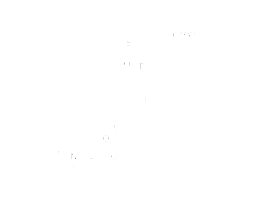 C=C(CN(C)C)C(=O)OCCCc1ccc(OC(F)(F)C2CCC(CCCCC)CC2)cc1F